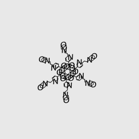 O=C(OC1[C@H](OC(=O)c2ccc(CCN3CCOCC3)nc2)[C@@H](OC(=O)c2ccc(CCN3CCOCC3)nc2)C(OC(=O)c2ccc(CCN3CCOCC3)nc2)[C@@H](OC(=O)c2ccc(CCN3CCOCC3)nc2)[C@@H]1OC(=O)c1ccc(CCN2CCOCC2)nc1)c1ccc(CCN2CCOCC2)nc1